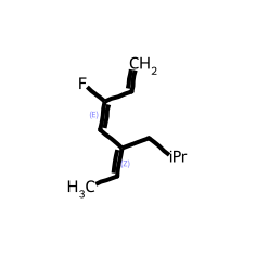 C=C/C(F)=C\C(=C/C)CC(C)C